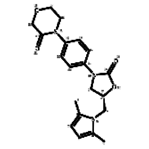 Cc1ccc(C)n1C[C@H]1CN(c2ccc(N3CCOCC3=O)cc2)C(=O)O1